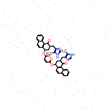 Cc1[nH]cnc1CC1CC(OC(=O)/C=C\C(=O)OC2CC(Cc3nc[nH]c3C)C(=O)c3c2ccc2ccccc32)c2ccc3ccccc3c2C1=O